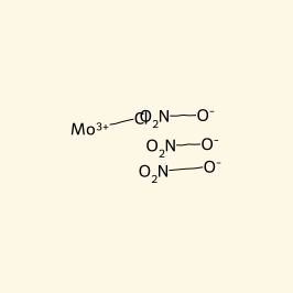 O=[N+]([O-])[O-].O=[N+]([O-])[O-].O=[N+]([O-])[O-].[Cl][Mo+3]